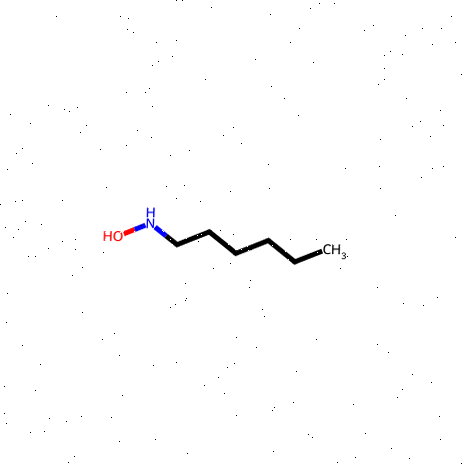 CCCCCCNO